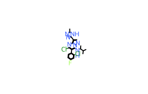 Cc1nnc(-c2cnn3c(NC(C)C(C)C)c(-c4ccc(F)cc4Cl)c(Cl)nc23)[nH]1